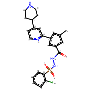 Cc1cc(C(=O)NNS(=O)(=O)c2ccccc2F)cc(-c2cc(C3CCNCC3)ccn2)c1